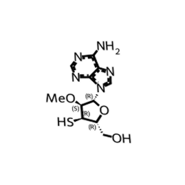 CO[C@@H]1[C@H](S)[C@@H](CO)O[C@H]1n1cnc2c(N)ncnc21